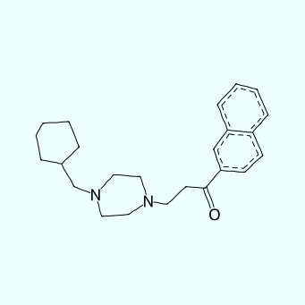 O=C(CCN1CCN(CC2CCCCC2)CC1)c1ccc2ccccc2c1